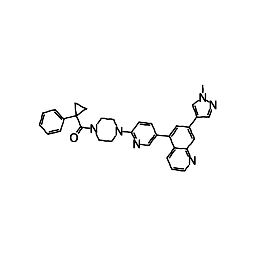 Cn1cc(-c2cc(-c3ccc(N4CCN(C(=O)C5(c6ccccc6)CC5)CC4)nc3)c3cccnc3c2)cn1